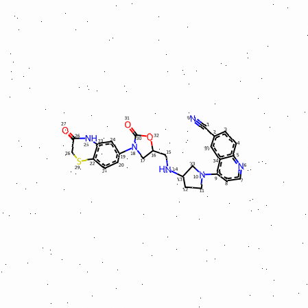 N#Cc1ccc2nccc(N3CCC(NCC4CN(c5ccc6c(c5)NC(=O)CS6)C(=O)O4)C3)c2c1